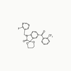 O=C(c1ccc2c(c1)C1(OCCCO1)C(=O)N2Cc1ccccc1F)c1ccccc1C(F)(F)F